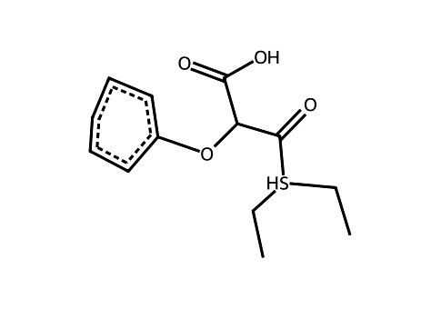 CC[SH](CC)C(=O)C(Oc1ccccc1)C(=O)O